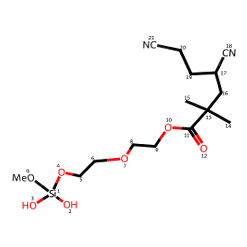 CO[Si](O)(O)OCCOCCOC(=O)C(C)(C)CC(C#N)CCC#N